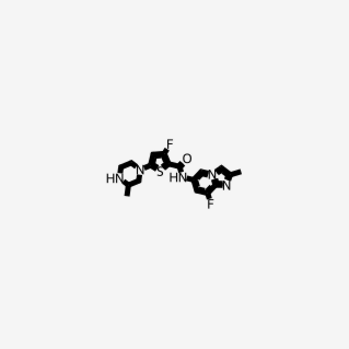 Cc1cn2cc(NC(=O)c3sc(N4CCNC(C)C4)cc3F)cc(F)c2n1